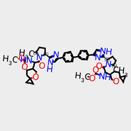 COC(=O)NC(C(=O)N1[C@@H](C)CC[C@H]1c1nc(-c2ccc(-c3ccc(-c4c[nH]c([C@@H]5CC[C@H](C)N5C(=O)C(NC(=O)OC)C5CCC6(CC6)OC5)n4)cc3)cc2)c[nH]1)C1CCC2(CC2)OC1